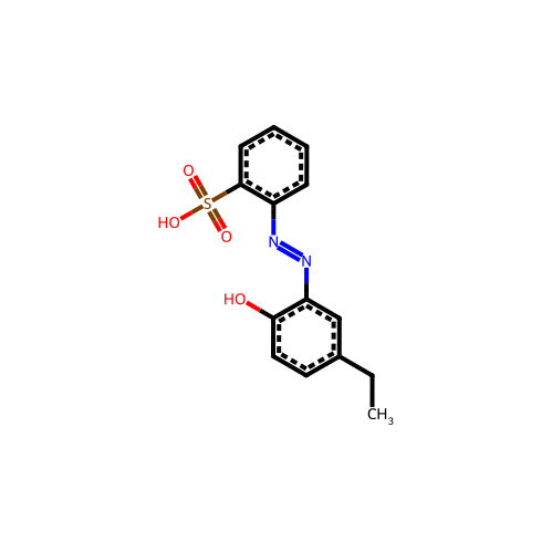 CCc1ccc(O)c(/N=N/c2ccccc2S(=O)(=O)O)c1